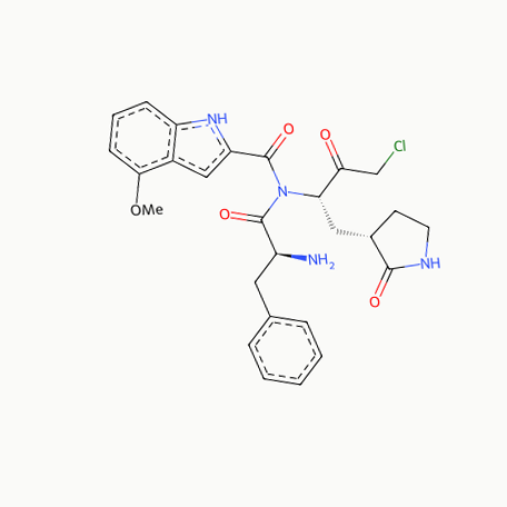 COc1cccc2[nH]c(C(=O)N(C(=O)[C@@H](N)Cc3ccccc3)[C@@H](C[C@@H]3CCNC3=O)C(=O)CCl)cc12